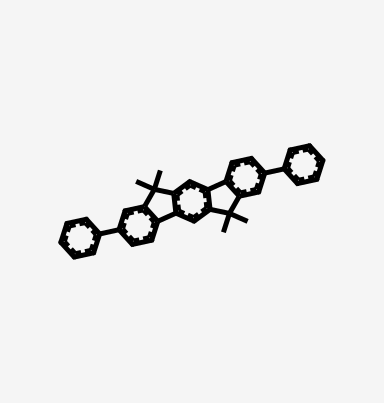 CC1(C)c2cc(-c3ccccc3)ccc2-c2cc3c(cc21)-c1ccc(-c2ccccc2)cc1C3(C)C